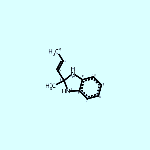 CC=CC1(C)Nc2ccccc2N1